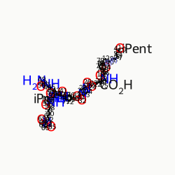 CCCC(C)OC(C)(C)C[C@H](C)/C=C/C=C(\C)[C@H]1O[C@@H](CC(=O)N[C@@H](CCCOC(=O)N2CCN(C(=O)OCc3ccc(NC(=O)[C@H](CCCCNC(N)=O)NC(=O)[C@@H](NC(=O)CCCCCN4C(=O)C=CC4=O)C(C)C)cc3)CC2)C(=O)O)CC[C@@H]1C